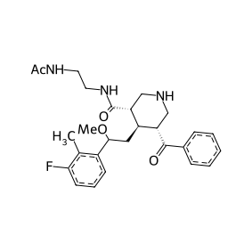 COC(C[C@@H]1[C@@H](C(=O)c2ccccc2)CNC[C@H]1C(=O)NCCNC(C)=O)c1cccc(F)c1C